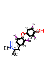 CCNC(Cc1cc(I)c(Oc2cc(I)c(O)c(I)c2)c(I)c1)C(C)=O